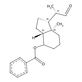 C[C@H](C=O)[C@H]1CC[C@H]2C(OC(=O)c3ccccc3)CCC[C@]12C